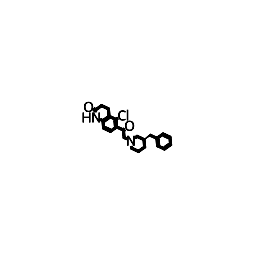 O=C1CCc2c(ccc(C(=O)CN3CCC[C@H](Cc4ccccc4)C3)c2Cl)N1